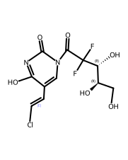 O=C(n1cc(/C=C/Cl)c(O)nc1=O)C(F)(F)[C@H](O)[C@H](O)CO